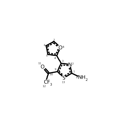 Nc1nc(-c2ccco2)c(C(=O)C(F)(F)F)s1